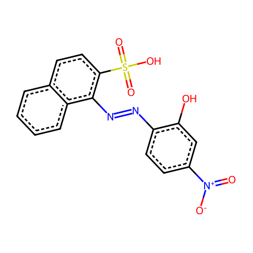 O=[N+]([O-])c1ccc(N=Nc2c(S(=O)(=O)O)ccc3ccccc23)c(O)c1